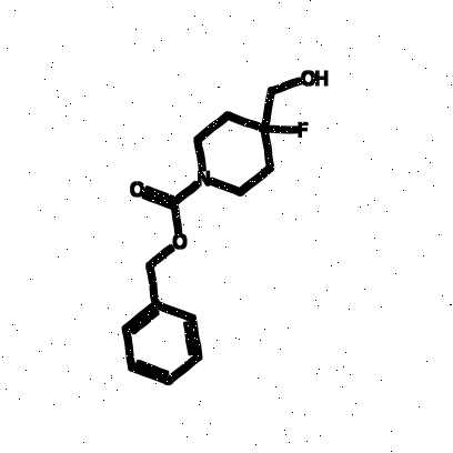 O=C(OCc1ccccc1)N1CCC(F)(CO)CC1